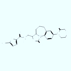 O=C(NCC1OC(=O)N2c3ccc(N4CCOCC4=O)cc3CCCC12)c1ccc(Cl)s1